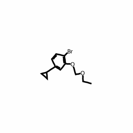 CCOCOc1cc(C2CC2)ccc1Br